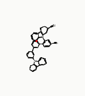 N#CC1=Cc2c(c3ccccc3n2-c2cc(C#N)ccc2-c2cccc(-c3cccc(-n4c5c(c6ccccc64)C=CCC5)c3)c2)CC1